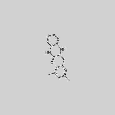 Cc1cc(C)cc(C[C@@H]2Nc3ccccc3NC2=O)c1